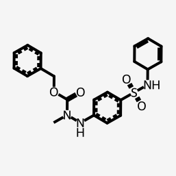 CN(Nc1ccc(S(=O)(=O)NC2C=CC=CC2)cc1)C(=O)OCc1ccccc1